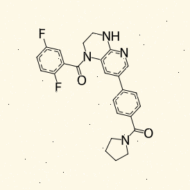 O=C(c1ccc(-c2cnc3c(c2)N(C(=O)c2cc(F)ccc2F)CCN3)cc1)N1CCCC1